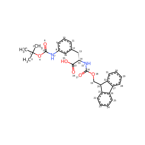 CC(C)(C)OC(=O)Nc1cccc(C[C@H](NC(=O)OCC2c3ccccc3-c3ccccc32)C(=O)O)c1